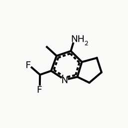 Cc1c(C(F)F)nc2c(c1N)CCC2